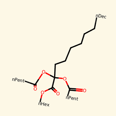 CCCCCCCCCCCCCCCCC(OC(=O)CCCCC)(OC(=O)CCCCC)C(=O)OCCCCCC